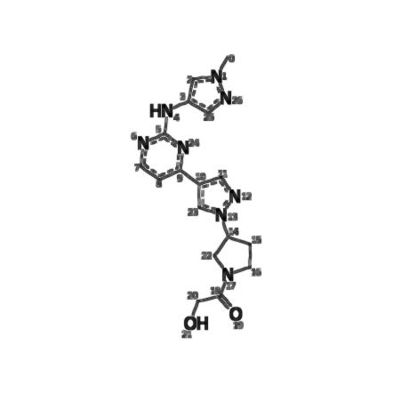 Cn1cc(Nc2nccc(-c3cnn(C4CCN(C(=O)CO)C4)c3)n2)cn1